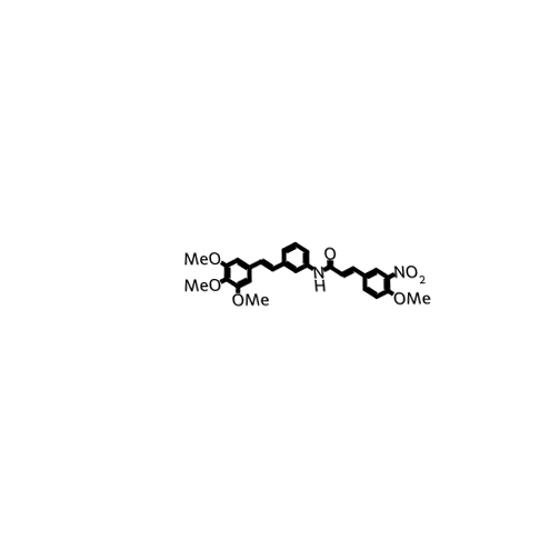 COc1ccc(/C=C/C(=O)Nc2cccc(C=Cc3cc(OC)c(OC)c(OC)c3)c2)cc1[N+](=O)[O-]